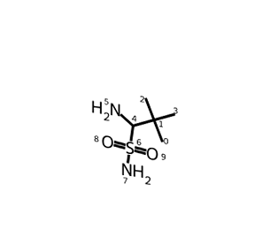 CC(C)(C)C(N)S(N)(=O)=O